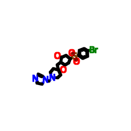 O=C1CC(S(=O)(=O)c2ccc(Br)cc2)CC2OC3(CCN(CN4C=CN=CC4)CC3)CC12